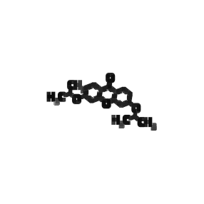 CC(C)Oc1ccc2c(=O)c3ccc(OC(C)C)cc3oc2c1